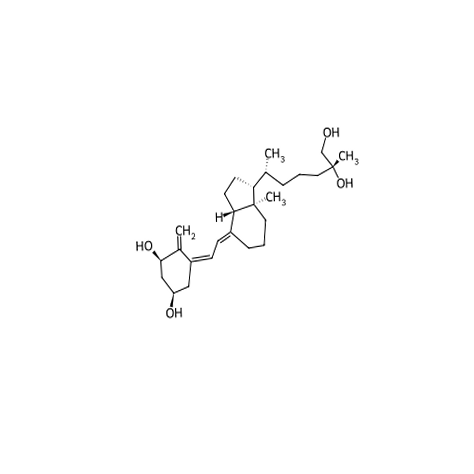 C=C1/C(=C\C=C2CCC[C@]3(C)[C@@H]([C@H](C)CCC[C@@](C)(O)CO)CC[C@@H]23)C[C@@H](O)C[C@H]1O